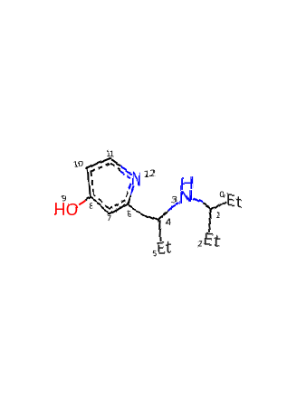 CCC(CC)NC(CC)c1cc(O)ccn1